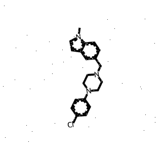 Cn1ccc2cc(CN3CCN(c4ccc(Cl)cc4)CC3)ccc21